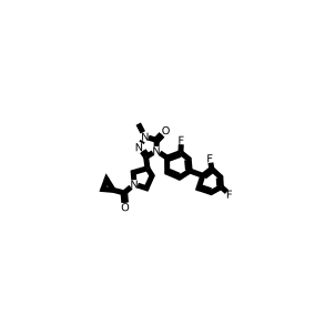 Cn1nc(C2CCN(C(=O)C3CC3)C2)n(-c2ccc(-c3ccc(F)cc3F)cc2F)c1=O